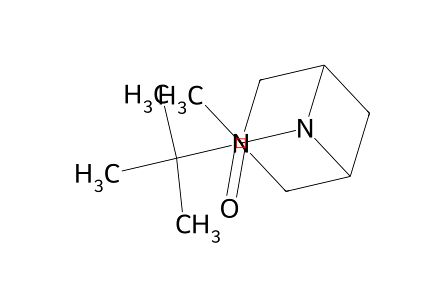 CC(=O)N1C2CC1CN(C(C)(C)C)C2